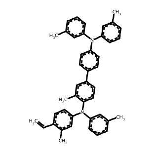 C=Cc1ccc(N(c2cccc(C)c2)c2ccc(-c3ccc(N(c4cccc(C)c4)c4cccc(C)c4)cc3)cc2C)cc1C